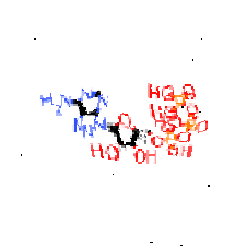 Nc1ncnc2c1nnn2[C@@H]1O[C@H](COP(=O)(O)OP(=O)(O)OP(=O)(O)O)C(O)[C@@H]1O